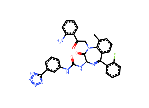 Cc1cccc2c1N(CC(=O)c1ccccc1N)C(=O)[C@H](NC(=O)Nc1cccc(-c3nnn[nH]3)c1)N=C2c1ccccc1F